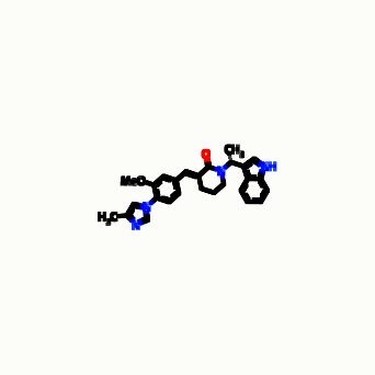 COc1cc(/C=C2\CCCN([C@H](C)c3c[nH]c4ccccc34)C2=O)ccc1-n1cnc(C)c1